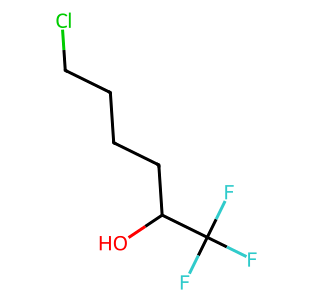 OC(CCCCCl)C(F)(F)F